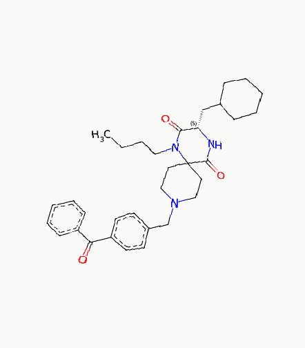 CCCCN1C(=O)[C@H](CC2CCCCC2)NC(=O)C12CCN(Cc1ccc(C(=O)c3ccccc3)cc1)CC2